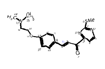 CSc1nccc(C(=O)/C=C/c2ccc(OCCN(C)C)cc2)n1